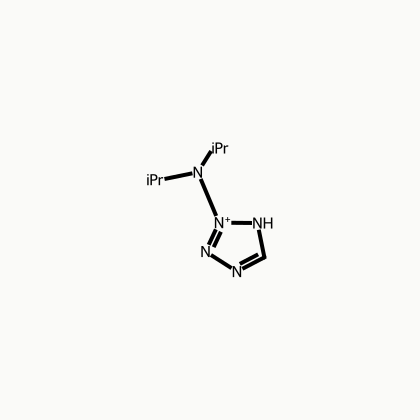 CC(C)N(C(C)C)[n+]1nnc[nH]1